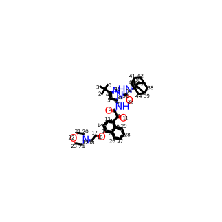 CC(C)(C)c1cc(NC(=O)C(=O)c2ccc(OCCN3CCOCC3)c3ccccc23)n(C(=O)NC23CC4CC(CC(C4)C2)C3)n1